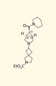 CCOC(=O)N1CCC2(CC(N3C[C@@H]4[C@H](C3)[C@@H]4C(=O)N3CCCCC3)C2)C1